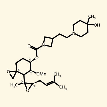 CO[C@H]1C([C@@]2(C)O[C@@H]2CC=C(C)C)[C@]2(CC[C@H]1OC(=O)N1CC(CCN3CCC(C)(O)CC3)C1)CO2